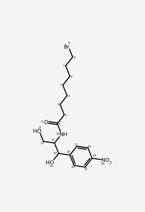 O=C(CCCCCCCBr)NC(CO)C(O)c1ccc([N+](=O)[O-])cc1